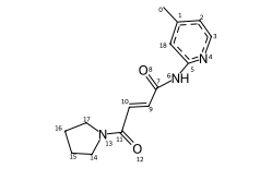 Cc1ccnc(NC(=O)C=CC(=O)N2CCCC2)c1